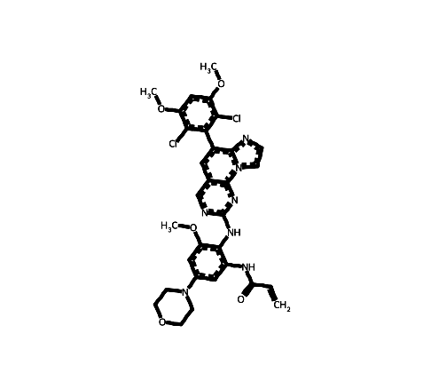 C=CC(=O)Nc1cc(N2CCOCC2)cc(OC)c1Nc1ncc2cc(-c3c(Cl)c(OC)cc(OC)c3Cl)c3nccn3c2n1